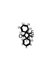 O=C(C1(C(F)F)C=CC=CC1)C1(C(F)F)C=CC=CC1